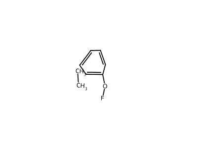 CC.FOc1ccccc1